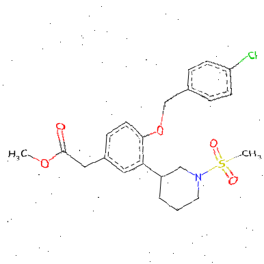 COC(=O)Cc1ccc(OCc2ccc(Cl)cc2)c(C2CCCN(S(C)(=O)=O)C2)c1